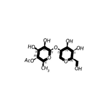 CC(=O)O[C@@H]1[C@@H](O)[C@@H](O)[C@H](O[C@H]2[CH]O[C@H](CO)[C@@H](O)[C@@H]2O)O[C@H]1C